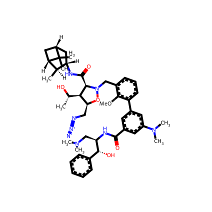 COc1c(CN2O[C@@H](CN=[N+]=[N-])[C@@H]([C@H](C)O)[C@H]2C(=O)N[C@H]2C[C@H]3C[C@@H]([C@@H]2C)C3(C)C)cccc1-c1cc(C(=O)N[C@H](CN(C)C)[C@H](O)c2ccccc2)cc(N(C)C)c1